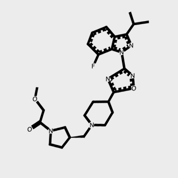 COCC(=O)N1CC[C@H](CN2CCC(c3nc(-n4nc(C(C)C)c5cccc(F)c54)no3)CC2)C1